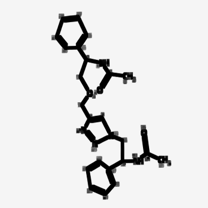 CC(=O)NC(COCc1cn(CC(NC(C)=O)c2ccccc2)nn1)c1ccccc1